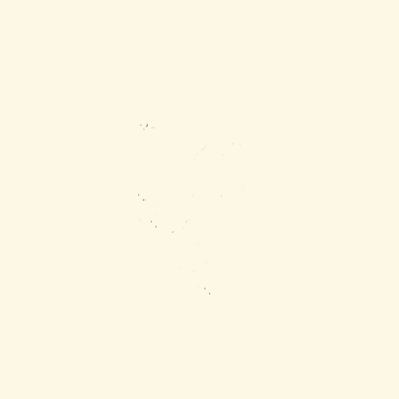 COc1ccc(C(=O)c2ccc(Cl)cc2)c(OC[C@@H]2CO[C@](Cn3ccnc3)(c3ccc(C#N)cc3)O2)c1